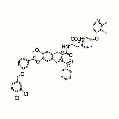 CC[C@@H](c1ccccc1)N1Cc2cc3c(cc2C[C@H]1C(=O)NC(Cc1ccc(Oc2ccnc(C)c2C)cc1)C(=O)O)OC[C@H](c1cccc(OCc2ccc(Cl)c(Cl)c2)c1)O3